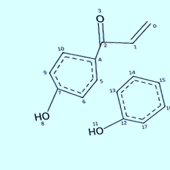 C=CC(=O)c1ccc(O)cc1.Oc1ccccc1